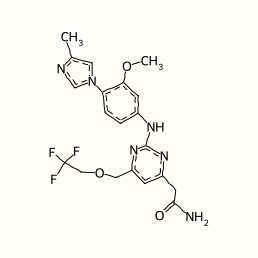 COc1cc(Nc2nc(COCC(F)(F)F)cc(CC(N)=O)n2)ccc1-n1cnc(C)c1